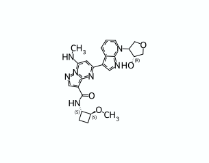 CNc1cc(-c2cnc3n(C4COC[C@@H]4O)cccc2-3)nc2c(C(=O)N[C@H]3CC[C@@H]3OC)cnn12